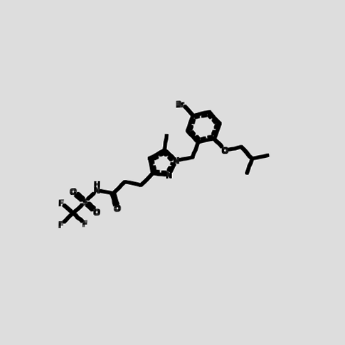 Cc1cc(CCC(=O)NS(=O)(=O)C(F)(F)F)nn1Cc1cc(Br)ccc1OCC(C)C